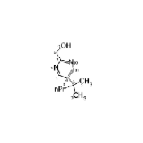 CCCC(C)(C)c1cnc(CO)nc1